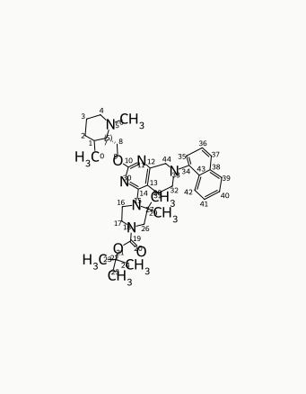 CC1CCCN(C)[C@@H]1COc1nc2c(c(N3CCN(C(=O)OC(C)(C)C)CC3(C)C)n1)CCN(c1cccc3ccccc13)C2